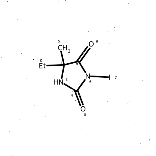 CCC1(C)NC(=O)N(I)C1=O